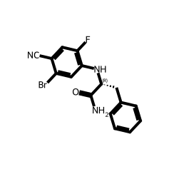 N#Cc1cc(F)c(N[C@H](Cc2ccccc2)C(N)=O)cc1Br